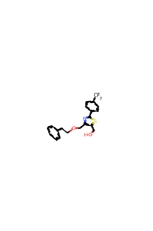 OCc1sc(-c2ccc(C(F)(F)F)cc2)nc1COCCc1ccccc1